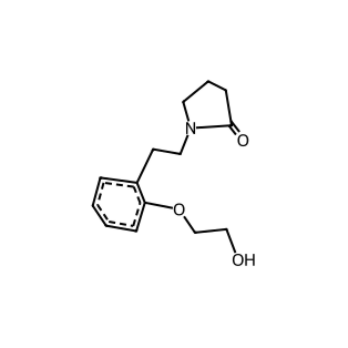 O=C1CCCN1CCc1ccccc1OCCO